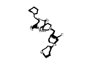 CCCCN1C(=O)C(CC2CCCCC2)NC(=O)C12CCN(Cc1ccc(OC3CCOCC3)cc1Cl)CC2